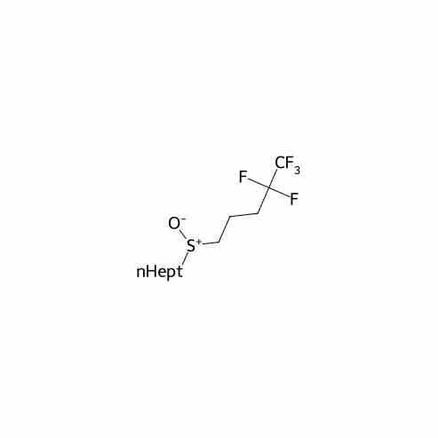 [CH2]CCCCCC[S+]([O-])CCCC(F)(F)C(F)(F)F